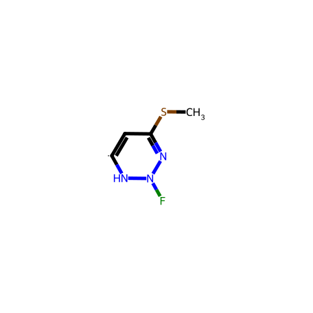 CSC1=NN(F)N[C]=C1